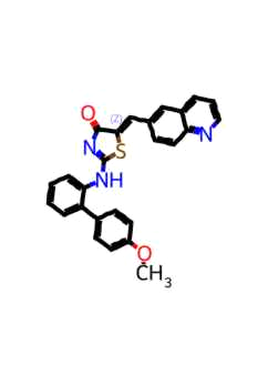 COc1ccc(-c2ccccc2NC2=NC(=O)/C(=C/c3ccc4ncccc4c3)S2)cc1